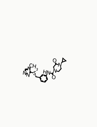 Cn1cnnc1SCc1cccc(NC(=O)N2CCN(C3CC3)C(=O)C2)c1